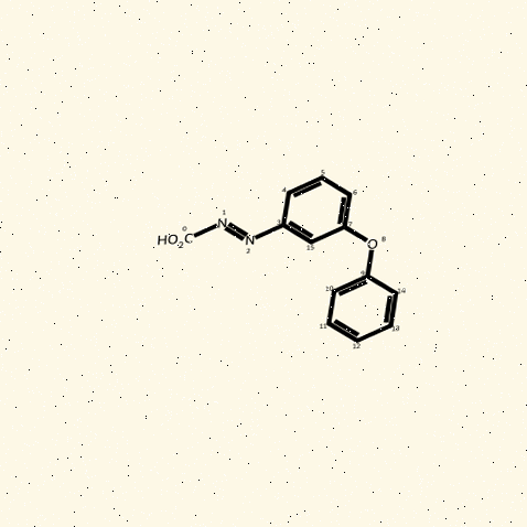 O=C(O)N=Nc1cccc(Oc2ccccc2)c1